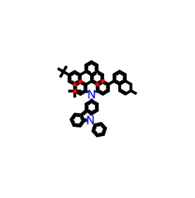 CC1C=Cc2c(cccc2-c2ccc(N(c3ccc4c(c3)c3ccccc3n4-c3ccccc3)c3ccccc3-c3cccc4cccc(-c5cc(C(C)(C)C)cc(C(C)(C)C)c5)c34)cc2)C1